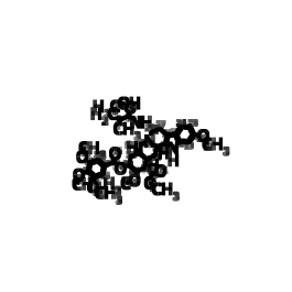 C=C(C)C(N)=O.CO.COC(=O)[C@H]1[C@H]2C[C@@H]3c4[nH]c5cc(OC)ccc5c4CCN3C[C@H]2C[C@@H](OC(=O)c2cc(OC)c(OC)c(OC)c2)[C@@H]1OC